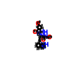 COc1ccc2c(c1)C(=O)N(C[C@@H](C#Cc1cccc3cn[nH]c13)NC(=O)NC=O)C2